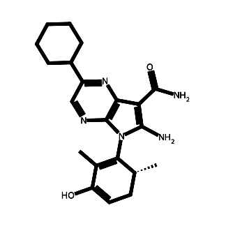 CC1=C(n2c(N)c(C(N)=O)c3nc(C4CCCCC4)cnc32)[C@H](C)CC=C1O